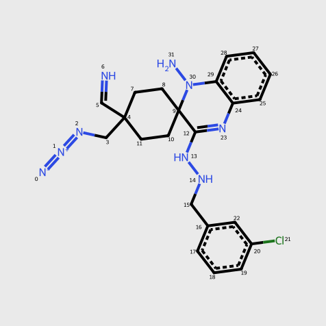 [N-]=[N+]=NCC1(C=N)CCC2(CC1)C(NNCc1cccc(Cl)c1)=Nc1ccccc1N2N